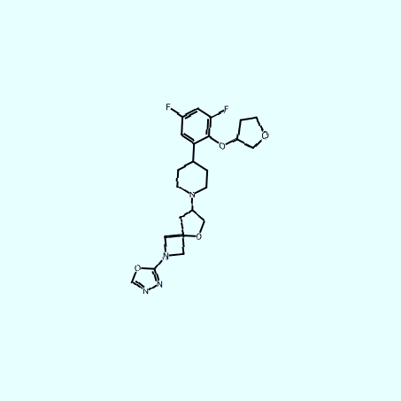 Fc1cc(F)c(OC2CCOC2)c(C2CCN(C3COC4(C3)CN(c3nnco3)C4)CC2)c1